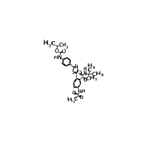 CC(C)OC(=O)Nc1ccc(-c2ncc(-c3ccc(NS(C)(=O)=O)cc3S(=O)(=O)NC(C)(C)C)s2)cc1